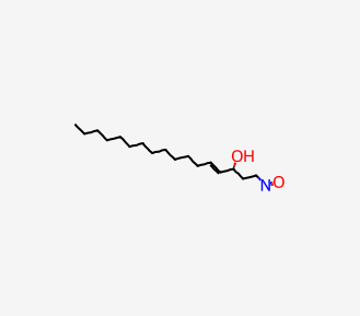 CCCCCCCCCCCC/C=C/[C@@H](O)CCN=O